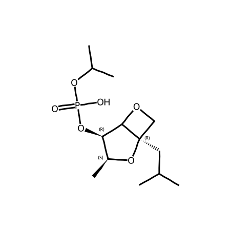 CC(C)C[C@@]12COC1[C@H](OP(=O)(O)OC(C)C)[C@H](C)O2